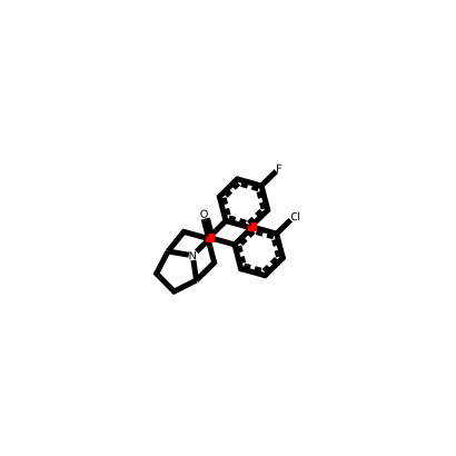 O=C(c1cccc(Cl)c1)N1C2CCC1CC(c1ccc(F)cc1)C2